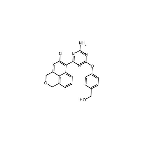 Nc1nc(Oc2ccc(CO)cc2)nc(-c2c(Cl)cc3c4c(cccc24)COC3)n1